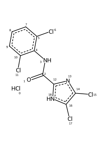 Cl.O=C(Nc1c(Cl)cccc1Cl)c1nc(Cl)c(Cl)[nH]1